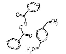 C=Cc1ccc(C=C)cc1.O=C(OOC(=O)c1ccccc1)c1ccccc1